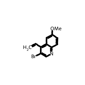 C=Cc1c(Br)cnc2ccc(OC)cc12